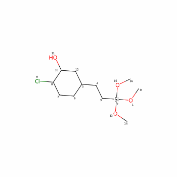 CO[Si](CCC1CCC(Cl)C(O)C1)(OC)OC